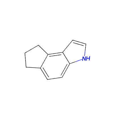 c1cc2c3c(ccc2[nH]1)CCC3